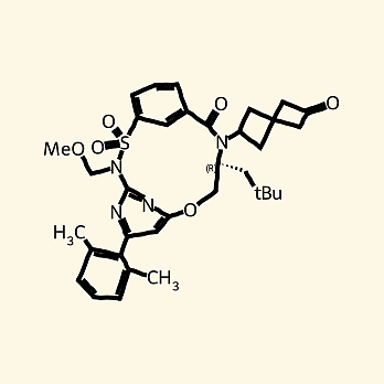 COCN1c2nc(cc(-c3c(C)cccc3C)n2)OC[C@@H](CC(C)(C)C)N(C2CC3(CC(=O)C3)C2)C(=O)c2cccc(c2)S1(=O)=O